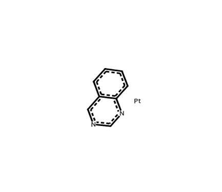 [Pt].c1ccc2ncncc2c1